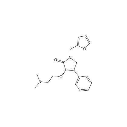 CN(C)CCOC1=C(c2ccccc2)CN(Cc2ccco2)C1=O